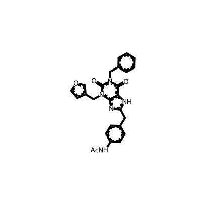 CC(=O)Nc1ccc(Cc2nc3c([nH]2)c(=O)n(Cc2ccccc2)c(=O)n3Cc2ccoc2)cc1